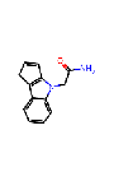 NC(=O)Cn1c2c(c3ccccc31)CC=C2